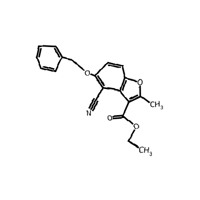 CCOC(=O)c1c(C)oc2ccc(OCc3ccccc3)c(C#N)c12